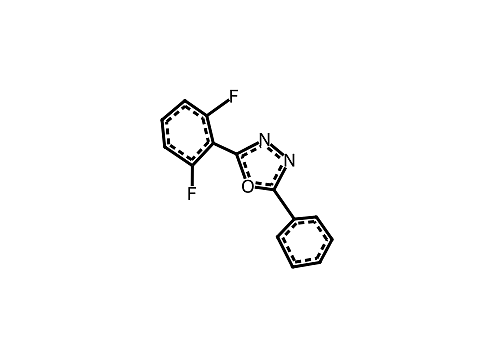 Fc1cccc(F)c1-c1nnc(-c2ccccc2)o1